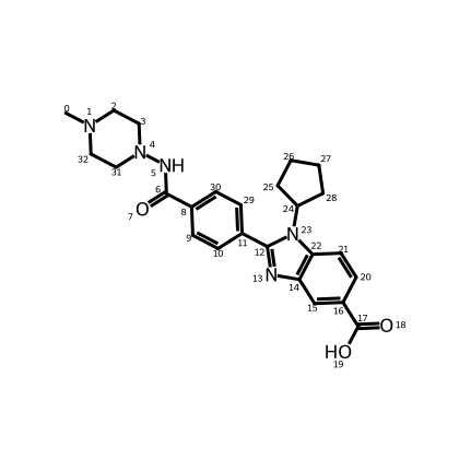 CN1CCN(NC(=O)c2ccc(-c3nc4cc(C(=O)O)ccc4n3C3CCCC3)cc2)CC1